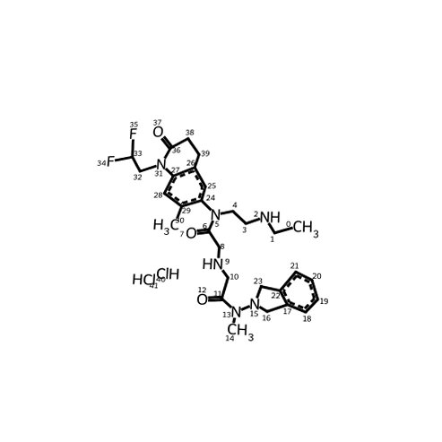 CCNCCN(C(=O)CNCC(=O)N(C)N1Cc2ccccc2C1)c1cc2c(cc1C)N(CC(F)F)C(=O)CC2.Cl.Cl